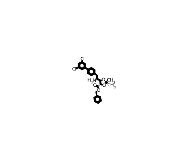 CC1(C)O[C@H]([C@H](N)Cc2ccc(-c3cc(Cl)cc(Cl)c3)cc2)[C@@H](C(=O)OCc2ccccc2)O1